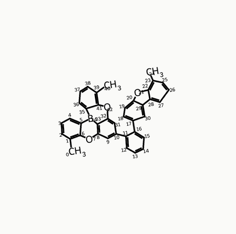 Cc1cccc2c1Oc1cc(-c3ccccc3-c3ccc4oc5c(C)cccc5c4c3)cc3c1B2c1cccc(C)c1O3